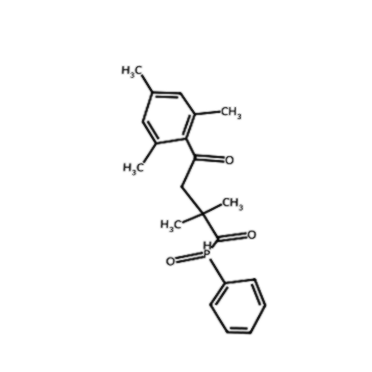 Cc1cc(C)c(C(=O)CC(C)(C)C(=O)[PH](=O)c2ccccc2)c(C)c1